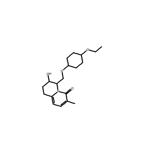 CCOC1CCC(OCC2C(O)CCc3ccc(C)c(=O)n32)CC1